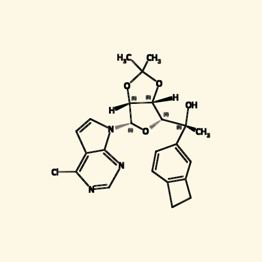 CC1(C)O[C@@H]2[C@H](O1)[C@H]([C@](C)(O)c1ccc3c(c1)CC3)O[C@@H]2n1ccc2c(Cl)ncnc21